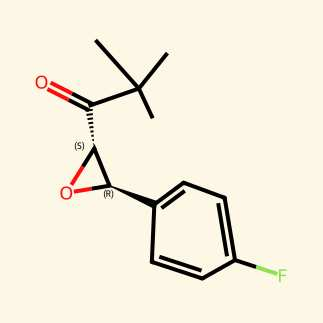 CC(C)(C)C(=O)[C@H]1O[C@@H]1c1ccc(F)cc1